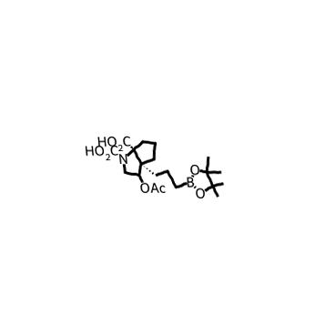 CC(=O)OC1CN(C(=O)O)[C@@]2(C(=O)O)CCC[C@@]12CCCB1OC(C)(C)C(C)(C)O1